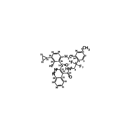 Cc1ccc(C(F)(F)CNC(=O)c2c([S+]([O-])c3cccc(C4CC4)c3F)nnc3ccccc23)c(C)c1